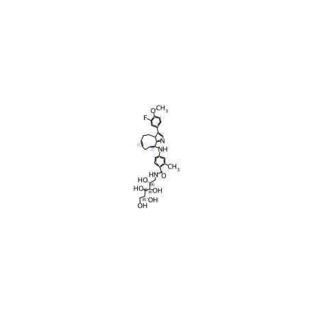 COc1ccc(C2=CN=C3/C(Nc4ccc(C(=O)NC[C@@H](O)[C@@H](O)[C@H](O)[C@H](O)CO)c(C)c4)=C/C/C=C\CCC23)cc1F